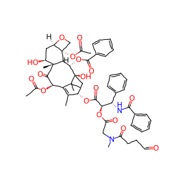 CC(=O)O[C@H]1C(=O)[C@@]2(C)[C@H]([C@H](OC(=O)c3ccccc3)[C@]3(O)C[C@H](OC(=O)[C@H](OC(=O)CN(C)C(=O)CCC=O)[C@@H](NC(=O)c4ccccc4)c4ccccc4)C(C)=C1C3(C)C)[C@]1(OC(C)=O)CO[C@@H]1C[C@@H]2O